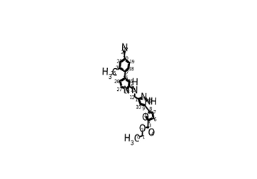 CCOC(=O)c1ccc(-c2cc(CNc3cc(-c4ccc(C#N)cc4C)ccn3)n[nH]2)o1